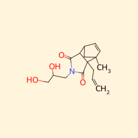 C=CCC12C(=O)N(CC(O)CO)C(=O)C1C1C=CC2(C)C1